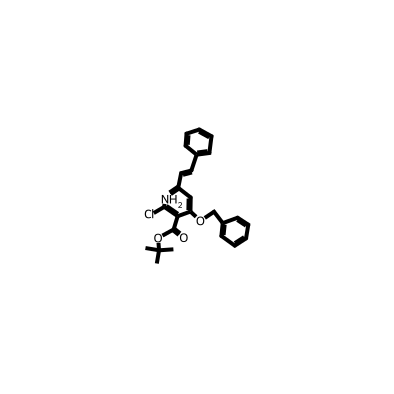 C=C(/C=C/c1ccccc1)/C=C(OCc1ccccc1)\C(C(=O)OC(C)(C)C)=C(/N)Cl